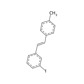 Cc1ccc(/C=C/c2cccc(I)c2)cc1